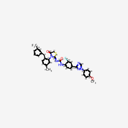 Cc1ccc(Cc2cccc(C(F)(F)F)c2)c(N2C(=O)CSC2=NC(=O)Nc2ccc(-c3ncn(-c4ccc(OC(F)(F)F)cc4)n3)cc2F)c1